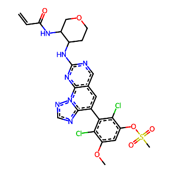 C=CC(=O)NC1COCCC1Nc1ncc2cc(-c3c(Cl)c(OC)cc(OS(C)(=O)=O)c3Cl)c3ncnn3c2n1